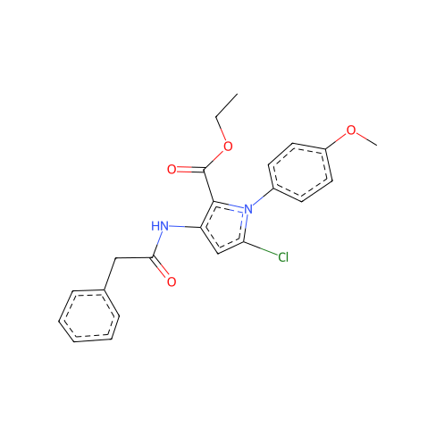 CCOC(=O)c1c(NC(=O)Cc2ccccc2)cc(Cl)n1-c1ccc(OC)cc1